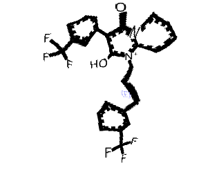 O=c1c(-c2cccc(C(F)(F)F)c2)c(O)[n+](C/C=C/c2cccc(C(F)(F)F)c2)c2ccccn12